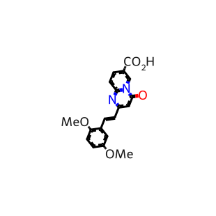 COc1ccc(OC)c(C=Cc2cc(=O)n3cc(C(=O)O)ccc3n2)c1